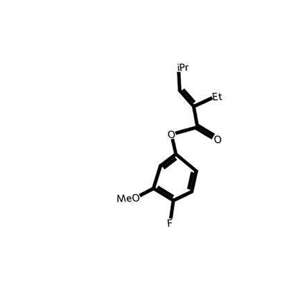 CCC(=CC(C)C)C(=O)Oc1ccc(F)c(OC)c1